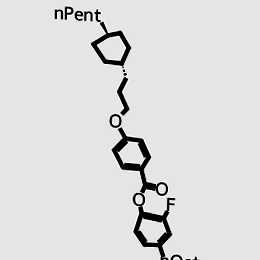 CCCCCCCCc1ccc(OC(=O)c2ccc(OCCC[C@H]3CC[C@H](CCCCC)CC3)cc2)c(F)c1